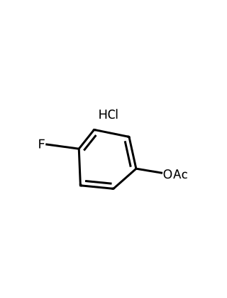 CC(=O)Oc1ccc(F)cc1.Cl